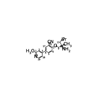 Cc1cc(-c2ccc(OC[C@@](C)(N)CC(C)C)c(C#N)c2)ccn1